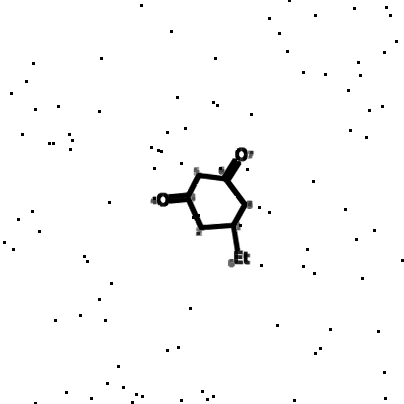 [CH2]CC1CC(=O)CC(=O)C1